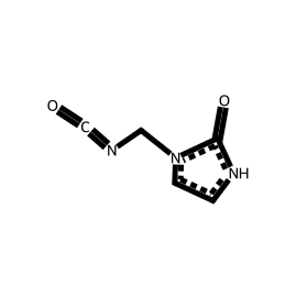 O=C=NCn1cc[nH]c1=O